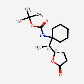 C[C@H]([C@@H]1CCC(=O)O1)C1(NC(=O)OC(C)(C)C)CCCCC1